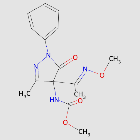 CON=C(C)C1(NC(=O)OC)C(=O)N(c2ccccc2)N=C1C